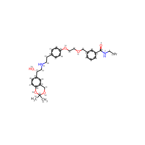 CC(C)CNC(=O)c1cccc(COCCOc2ccc(CCNC[C@@H](O)c3ccc4c(c3)COC(C)(C)O4)cc2)c1